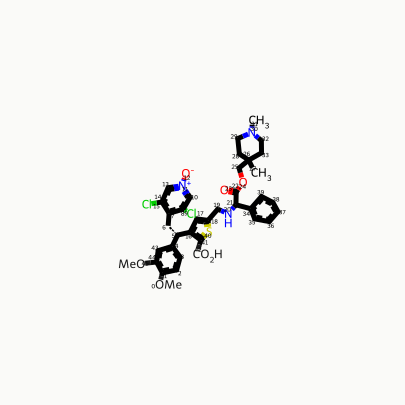 COc1ccc([C@H](Cc2c(Cl)c[n+]([O-])cc2Cl)c2cc(CNC(C(=O)OCC3(C)CCN(C)CC3)c3ccccc3)sc2C(=O)O)cc1OC